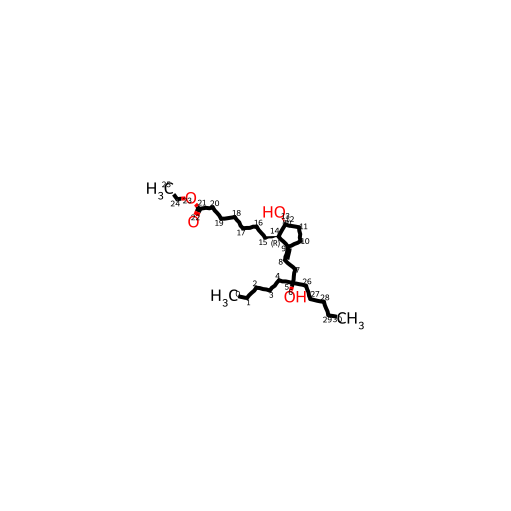 CCCCCC(O)(CC=C1CC[C@@H](O)[C@@H]1CCCCCCC(=O)OCC)CCCCC